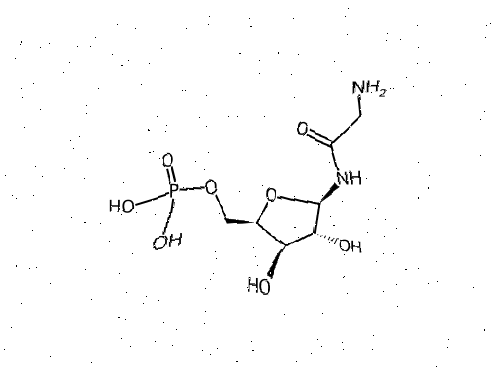 NCC(=O)N[C@@H]1O[C@H](COP(=O)(O)O)[C@H](O)[C@H]1O